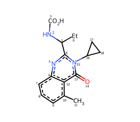 CCC(NC(=O)O)c1nc2cccc(C)c2c(=O)n1C1CC1